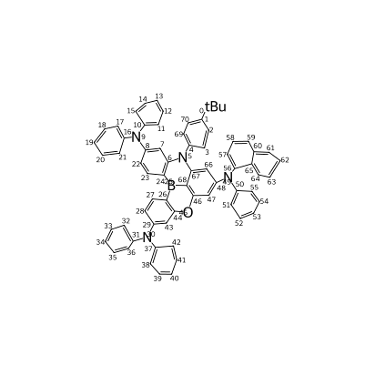 CC(C)(C)c1ccc(N2c3cc(N(c4ccccc4)c4ccccc4)ccc3B3c4ccc(N(c5ccccc5)c5ccccc5)cc4Oc4cc(N(c5ccccc5)c5cccc6ccccc56)cc2c43)cc1